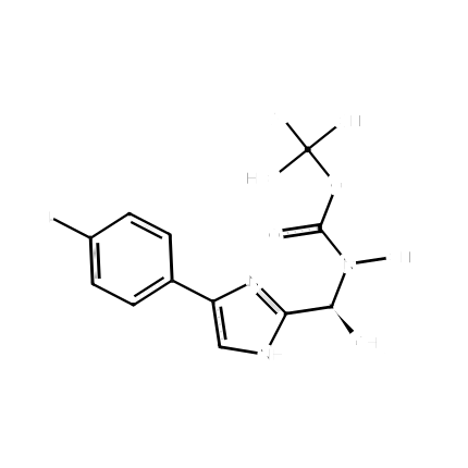 C[C@@H](c1nc(-c2ccc(I)cc2)c[nH]1)N(C)C(=O)OC(C)(C)C